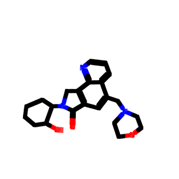 O=C1c2cc(CN3CCOCC3)c3cccnc3c2CN1C1CCCCC1O